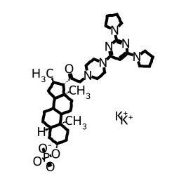 C[C@@H]1CC2C3CC[C@H]4C[C@@H](OP(=O)([O-])[O-])CC[C@]4(C)C3CC[C@]2(C)[C@H]1C(=O)CN1CCN(c2cc(N3CCCC3)nc(N3CCCC3)n2)CC1.[K+].[K+]